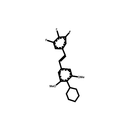 COc1cc(C=Cc2cc(F)c(F)c(F)c2)cc(OC)c1C1CCCCC1